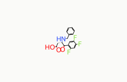 O=C(O)C[C@H](NCc1ccccc1)C(=O)c1cc(F)c(F)cc1F